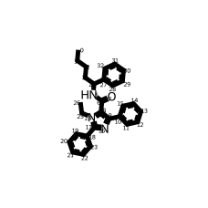 CCCCC(NC(=O)c1c(-c2ccccc2)nc(-c2ccccc2)n1CC)c1ccccc1